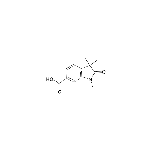 CN1C(=O)C(C)(C)c2ccc(C(=O)O)cc21